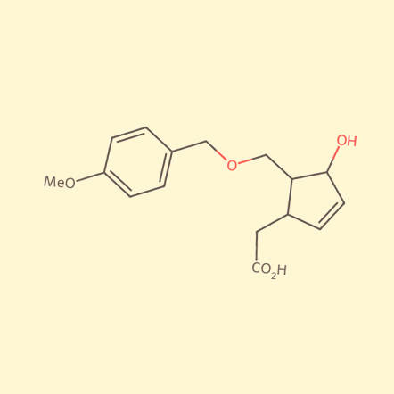 COc1ccc(COCC2C(O)C=CC2CC(=O)O)cc1